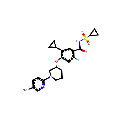 Cc1ccc(N2CCC[C@@H](Oc3cc(F)c(C(=O)NS(=O)(=O)C4CC4)cc3C3CC3)C2)nc1